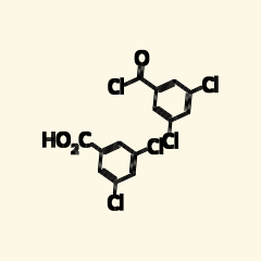 O=C(Cl)c1cc(Cl)cc(Cl)c1.O=C(O)c1cc(Cl)cc(Cl)c1